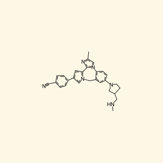 CNCC1CCN(c2ccc3c(c2)Cn2cc(-c4ccc(C#N)cc4)cc2-c2nc(C)cn2-3)C1